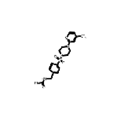 CCC(=O)NCc1ccc(S(=O)(=O)N2CCN(c3cc(C(F)(F)F)ccn3)CC2)cc1